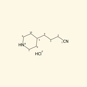 Cl.N#CCCCC1CCNCC1